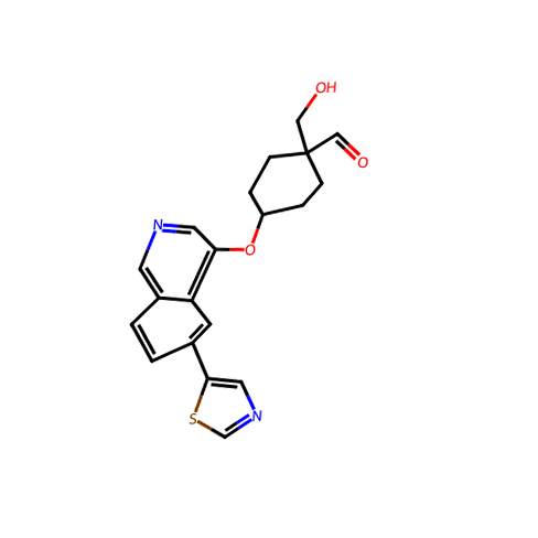 O=CC1(CO)CCC(Oc2cncc3ccc(-c4cncs4)cc23)CC1